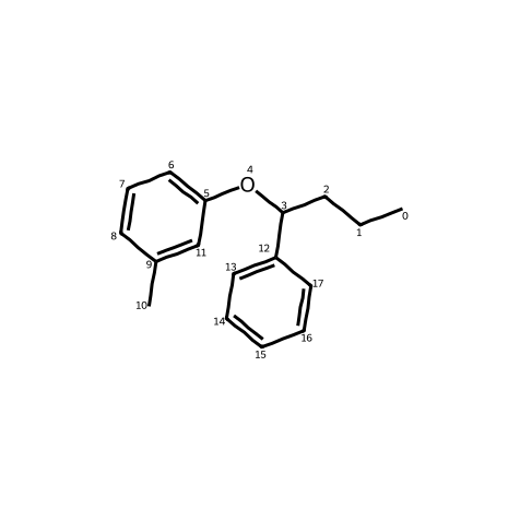 CCCC(Oc1cccc(C)c1)c1ccccc1